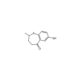 CC1CCC(=O)c2cc(S)ccc2S1